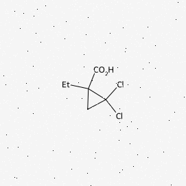 CCC1(C(=O)O)CC1(Cl)Cl